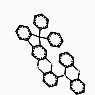 c1ccc(C2(c3ccccc3)c3ccccc3-c3cc4c(cc32)Oc2c(cccc2N2c3ccccc3Sc3ccccc32)O4)cc1